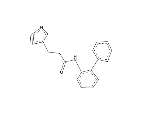 O=C(CCn1c#cnc1)Nc1ccccc1-c1ccccc1